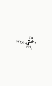 [BH2][GaH2].[Co].[Cu].[Fe].[Pr]